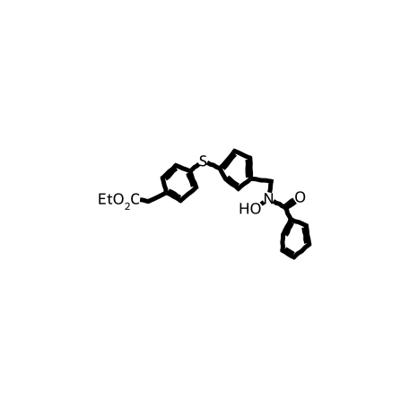 CCOC(=O)Cc1ccc(Sc2ccc(CN(O)C(=O)c3ccccc3)cc2)cc1